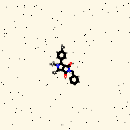 CC1C2C(=O)N(Cc3ccccc3)C(=O)C2C(c2ccc(C#N)cc2)N1C